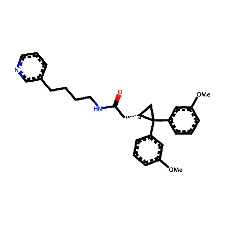 COc1cccc(C2(c3cccc(OC)c3)C[C@H]2CC(=O)NCCCCc2cccnc2)c1